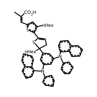 CCCCCCc1cc(/C=C(/C)C(=O)O)sc1C1=CCC(CCCCCC)(c2cc(N(c3ccccc3)c3cccc4ccccc34)cc(N(c3ccccc3)c3cccc4ccccc34)c2)S1